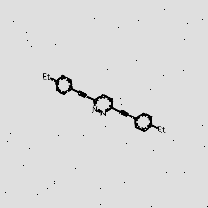 CCc1ccc(C#Cc2ccc(C#Cc3ccc(CC)cc3)nn2)cc1